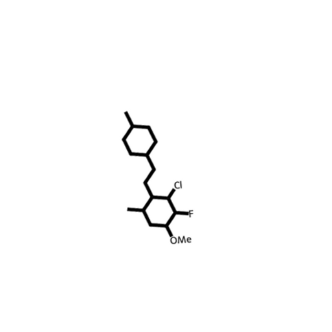 COC1CC(C)C(CCC2CCC(C)CC2)C(Cl)C1F